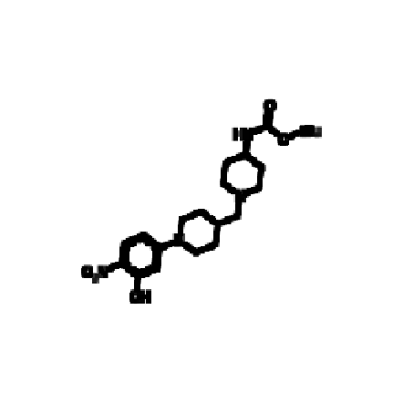 CC(C)(C)OC(=O)NC1CCN(CC2CCN(c3ccc([N+](=O)[O-])c(O)c3)CC2)CC1